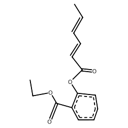 CC=CC=CC(=O)Oc1ccccc1C(=O)OCC